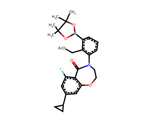 CC(=O)OCc1c(B2OC(C)(C)C(C)(C)O2)cccc1N1CCOc2cc(C3CC3)cc(F)c2C1=O